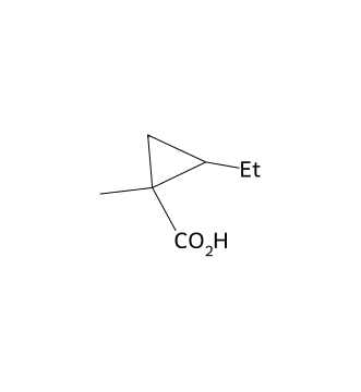 CCC1CC1(C)C(=O)O